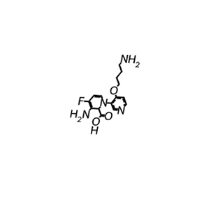 NCCCCOc1ccncc1N1C=CC(F)=C(N)C1C(=O)O